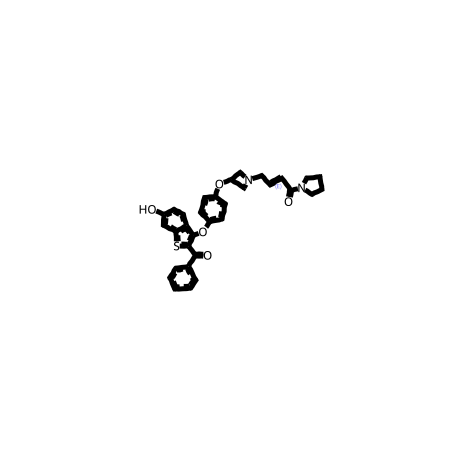 O=C(c1ccccc1)c1sc2cc(O)ccc2c1Oc1ccc(OC2CN(C/C=C/C(=O)N3CCCC3)C2)cc1